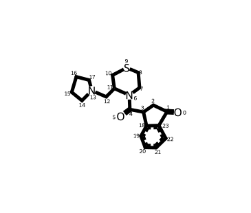 O=C1CC(C(=O)N2CCSCC2CN2CCCC2)c2ccccc21